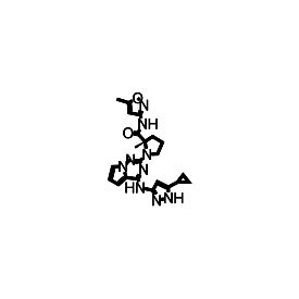 Cc1cc(NC(=O)[C@]2(C)CCCN2c2nc(Nc3cc(C4CC4)[nH]n3)c3cccn3n2)no1